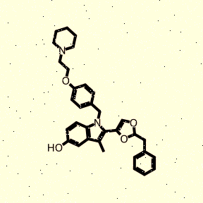 Cc1c(C2=COC(Cc3ccccc3)O2)n(Cc2ccc(OCCN3CCCCC3)cc2)c2ccc(O)cc12